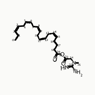 CC/C=C\C/C=C\C/C=C\C/C=C\C/C=C\CCCC(=O)OC(=O)CN(C)C(=N)N